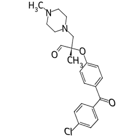 CN1CCN(C[C@@](C)(C=O)Oc2ccc(C(=O)c3ccc(Cl)cc3)cc2)CC1